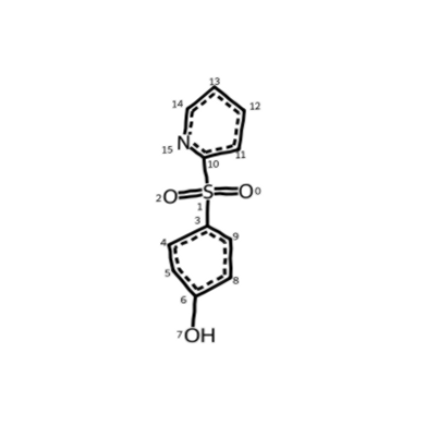 O=S(=O)(c1ccc(O)cc1)c1ccccn1